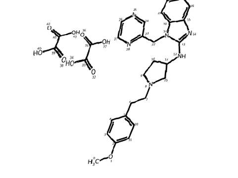 COc1ccc(CCN2CCC(Nc3nc4ccccc4n3Cc3cnccn3)C2)cc1.O=C(O)C(=O)O.O=C(O)C(=O)O